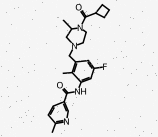 Cc1ccc(C(=O)Nc2cc(F)cc(CN3CCN(C(=O)C4CCC4)C(C)C3)c2C)cn1